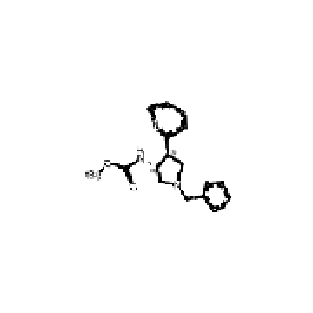 CC(C)(C)OC(=O)N[C@H]1CN(Cc2ccccc2)C[C@@H]1c1ccccn1